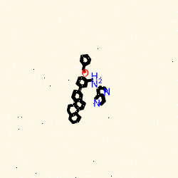 NCc1cc(-c2ccc3c4c(ccc3c2)C2=C(CCC=C2)CC4)ccc1OCc1ccccc1.c1cnc2ccncc2c1